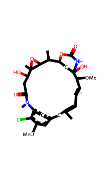 COc1cc2cc(c1Cl)N(C)C(=O)CC(O)C1(C)OC1C(C)C1CC(O)(NC(=O)O1)C(OC)/C=C\C=C(\C)C2